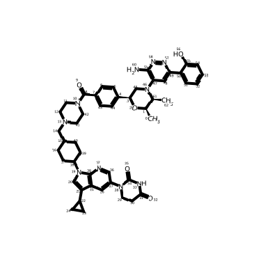 C[C@H]1O[C@@H](c2ccc(C(=O)N3CCN(CC4CCC(n5cc(C6CC6)c6cc(N7CCC(=O)NC7=O)cnc65)CC4)CC3)cc2)CN(c2cc(-c3ccccc3O)nnc2N)[C@H]1C